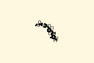 CCOC(=O)C(C)(C)N1CCN(C(=O)c2ccc(Cl)c(Cc3cc4c(C)cc(C(F)(F)F)cc4n3C)c2Cl)CC1